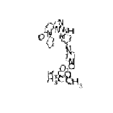 CC(C)(C)OC(=O)ON1CCN(c2ccc(Nc3ncc4ccc(=O)n(C5CCCC5)c4n3)nc2)CC1